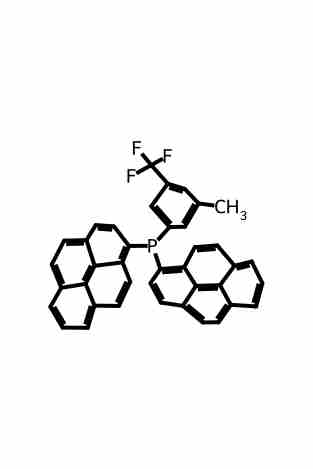 Cc1cc(P(c2ccc3ccc4cccc5ccc2c3c45)c2ccc3ccc4cccc5ccc2c3c45)cc(C(F)(F)F)c1